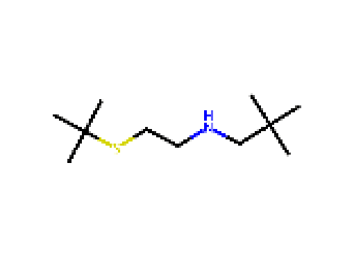 CC(C)(C)CNCCSC(C)(C)C